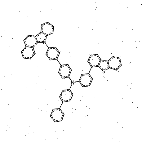 c1ccc(-c2ccc(N(c3ccc(-c4ccc(-n5c6ccccc6c6ccc7ccccc7c65)cc4)cc3)c3cccc(-c4cccc5c4sc4ccccc45)c3)cc2)cc1